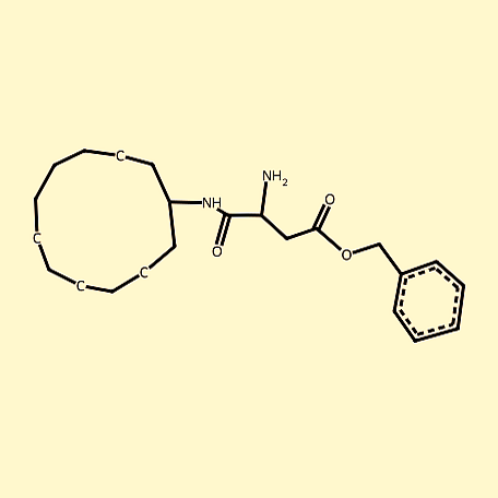 NC(CC(=O)OCc1ccccc1)C(=O)NC1CCCCCCCCCCC1